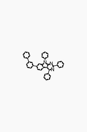 c1ccc(-c2cccc(-c3ccc4c5c(-c6ccccc6)nc(-c6ccccc6)nc5n(-c5ccccc5)c4c3)c2)cc1